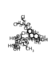 CCCC(OC(CCC)S(=O)(=O)O)S(=O)(=O)O.C[C@]12CC[C@@H]3c4ccc(OC(=O)N(CCCl)CCCl)cc4CC[C@H]3[C@@H]1CC[C@@H]2O.O=P(O)(O)O